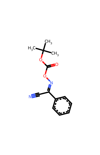 CC(C)(C)OC(=O)O/N=C(\C#N)c1ccccc1